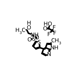 Cc1cc2c(-c3ccc(S(=O)(=O)NC[C@H](C)O)s3)ccnc2[nH]1.O=C(O)C(F)(F)F